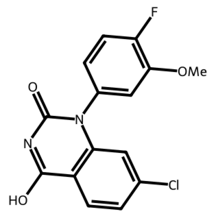 COc1cc(-n2c(=O)nc(O)c3ccc(Cl)cc32)ccc1F